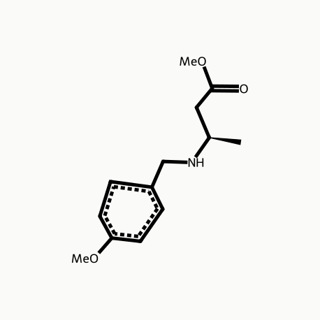 COC(=O)C[C@@H](C)NCc1ccc(OC)cc1